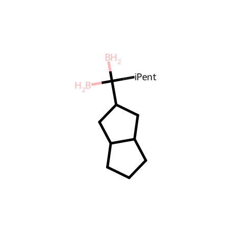 BC(B)(C(C)CCC)C1CC2CCCC2C1